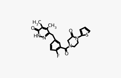 Cc1c(Cc2ccc(F)c(C(=O)N3CCN(c4cccs4)C(=O)C3)c2)n[nH]c(=O)c1C